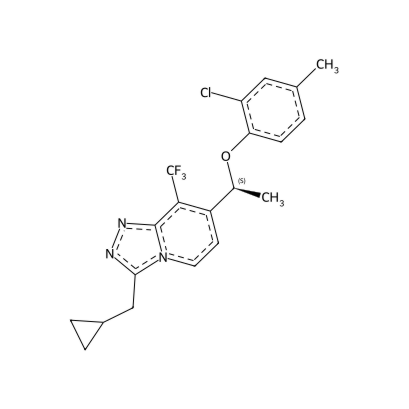 Cc1ccc(O[C@@H](C)c2ccn3c(CC4CC4)nnc3c2C(F)(F)F)c(Cl)c1